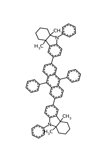 CC12CCCCC1(C)N(c1ccccc1)c1ccc(-c3ccc4c(-c5ccccc5)c5cc(-c6ccc7c(c6)C6(C)CCCCC6(C)N7c6ccccc6)ccc5c(-c5ccccc5)c4c3)cc12